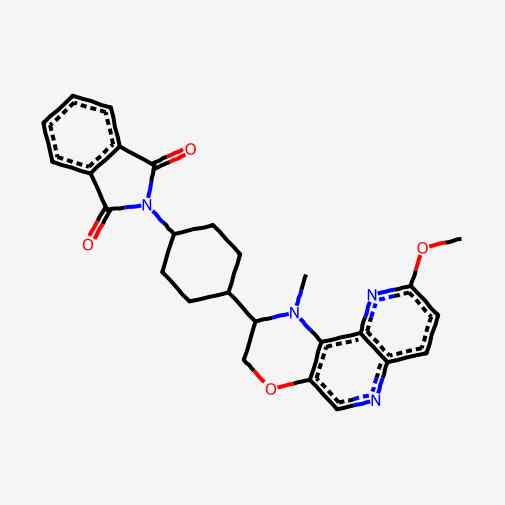 COc1ccc2ncc3c(c2n1)N(C)C(C1CCC(N2C(=O)c4ccccc4C2=O)CC1)CO3